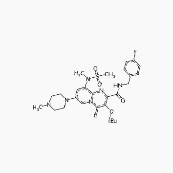 CCCCOc1c(C(=O)NCc2ccc(F)cc2)nc2c(N(C)S(C)(=O)=O)cc(N3CCN(C)CC3)cn2c1=O